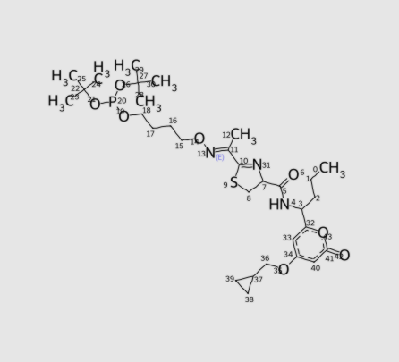 CCCC(NC(=O)C1CSC(/C(C)=N/OCCCCOP(OC(C)(C)C)OC(C)(C)C)=N1)c1cc(OCC2CC2)cc(=O)o1